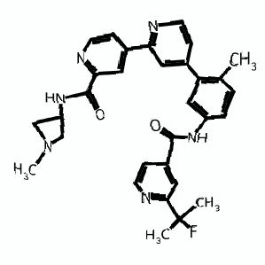 Cc1ccc(NC(=O)c2ccnc(C(C)(C)F)c2)cc1-c1ccnc(-c2ccnc(C(=O)NC3CN(C)C3)c2)c1